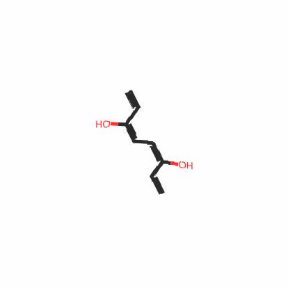 C=C/C(O)=C\C=C(\O)C=C